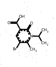 Cc1c(Br)cc(C(=O)O)c(=O)n1C(C)C